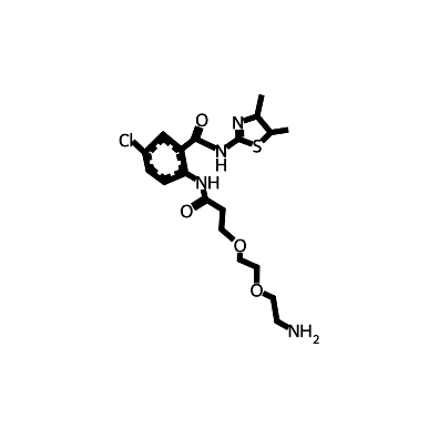 CC1N=C(NC(=O)c2cc(Cl)ccc2NC(=O)CCOCCOCCN)SC1C